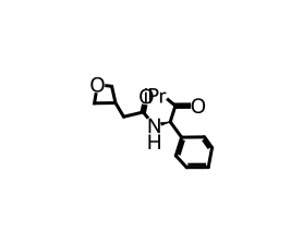 CC(C)C(=O)[C@H](NC(=O)CC1COC1)c1ccccc1